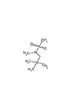 CN(C[Si](C)(C)C)S(C)(=O)=O